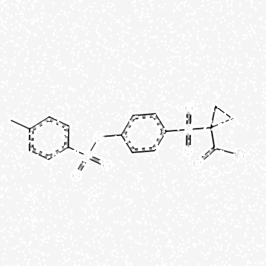 Cc1ccc(S(=O)(=O)Oc2ccc(S(=O)(=O)C3(C(=O)C(C)C)CC3)cc2)cc1